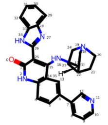 O=c1[nH]c2ccc(-c3cccnc3)cc2c(N[C@@H]2CN3CCC2CC3)c1-c1nc2ccccc2[nH]1